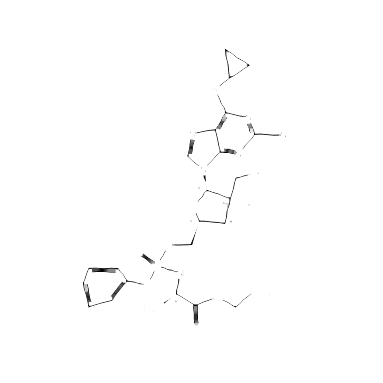 CCOC(=O)[C@@H](C)NP(=O)(OC[C@H]1O[C@@H](n2cnc3c(NC4CC4)nc(N)nc32)[C@@](F)(CO)[C@@H]1O)Oc1ccccc1